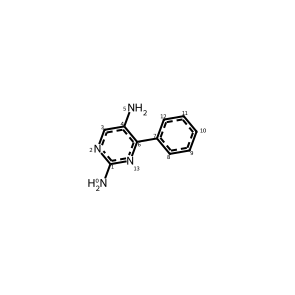 Nc1ncc(N)c(-c2ccccc2)n1